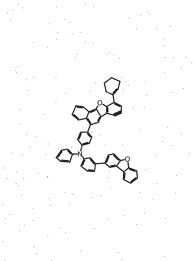 c1cc(C2=CCCCC2)c2oc3c4ccccc4c(-c4ccc(N(c5ccccc5)c5cccc(-c6ccc7oc8ccccc8c7c6)c5)cc4)cc3c2c#1